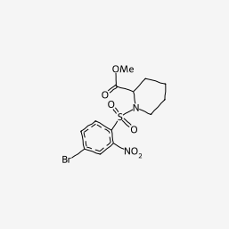 COC(=O)C1CCCCN1S(=O)(=O)c1ccc(Br)cc1[N+](=O)[O-]